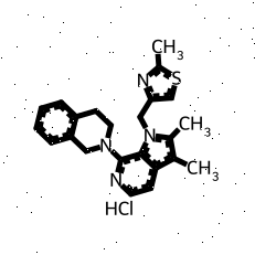 Cc1nc(Cn2c(C)c(C)c3ccnc(N4CCc5ccccc5C4)c32)cs1.Cl